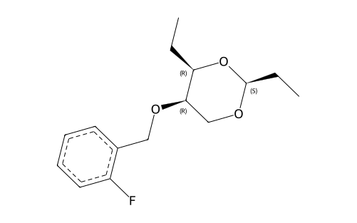 CC[C@H]1OC[C@@H](OCc2ccccc2F)[C@@H](CC)O1